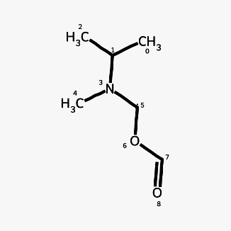 CC(C)N(C)[CH]OC=O